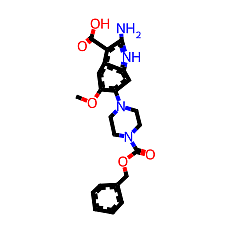 COc1cc2c(C(=O)O)c(N)[nH]c2cc1N1CCN(C(=O)OCc2ccccc2)CC1